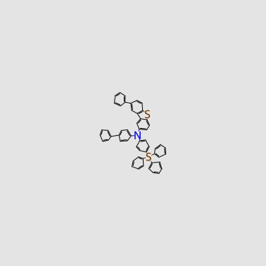 c1ccc(-c2ccc(N(c3ccc(S(c4ccccc4)(c4ccccc4)c4ccccc4)cc3)c3ccc4sc5ccc(-c6ccccc6)cc5c4c3)cc2)cc1